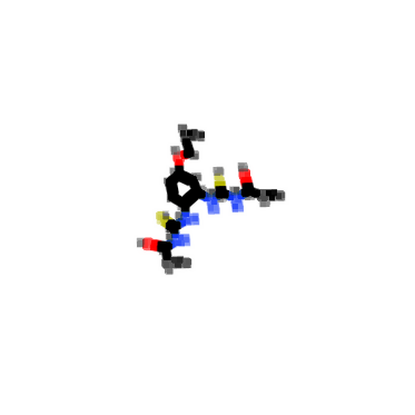 COC(=O)NC(=S)Nc1ccc(OCSC)cc1NC(=S)NC(=O)OC